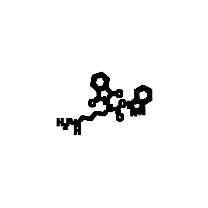 O=C(On1nnc2ccccc21)N(CCCCNP)N1C(=O)c2ccccc2C1=O